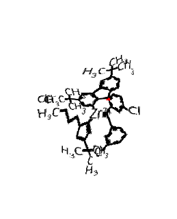 CCCCC1C=C(C(C)(C)C)C=[C]1[Zr+2](=[C](c1cccc(Cl)c1)c1cccc(Cl)c1)[c]1cc(C(C)(C)C)cc2c1Cc1ccc(C(C)(C)C)cc1-2.[Cl-].[Cl-]